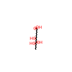 CCCCCC(O)C(O)CCC(O)CCCCCCCC(=O)O